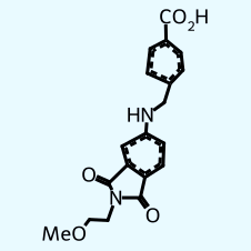 COCCN1C(=O)c2ccc(NCc3ccc(C(=O)O)cc3)cc2C1=O